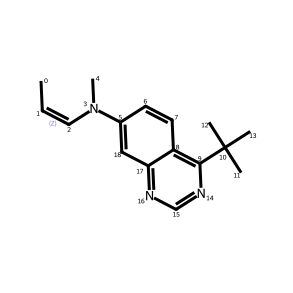 C/C=C\N(C)c1ccc2c(C(C)(C)C)ncnc2c1